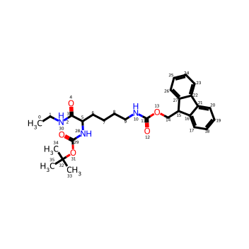 CCNC(=O)C(CCCCNC(=O)OCC1c2ccccc2-c2ccccc21)NC(=O)OC(C)(C)C